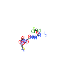 Cc1ncsc1-c1ccc(CNC(=O)[C@@H]2C[C@@H](O)CN2C(=O)C(NC(=O)CCCCC(=O)N2CCC(n3cc(-c4cnc(N)c(OC(C)c5c(Cl)ccc(F)c5Cl)c4)cn3)CC2)C(C)(C)C)cc1